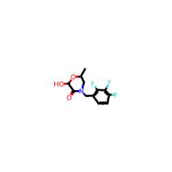 CC1CN(Cc2ccc(F)c(F)c2F)C(=O)C(O)O1